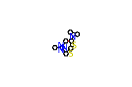 c1ccc(-c2nc(-c3ccccc3)nc(-c3cccc4sc5cc6sc7cc(-n8c9ccccc9c9ccccc98)ccc7c6cc5c34)n2)cc1